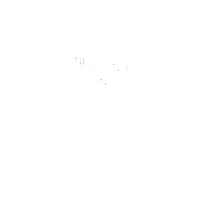 NC(=O)N(N)S(=O)(=O)c1ccccc1